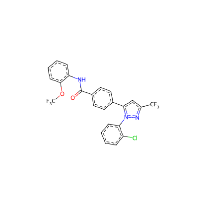 O=C(Nc1ccccc1OC(F)(F)F)c1ccc(-c2cc(C(F)(F)F)nn2-c2ccccc2Cl)cc1